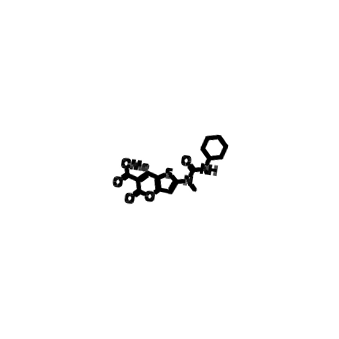 COC(=O)c1cc2sc(N(C)C(=O)NC3CCCCC3)cc2oc1=O